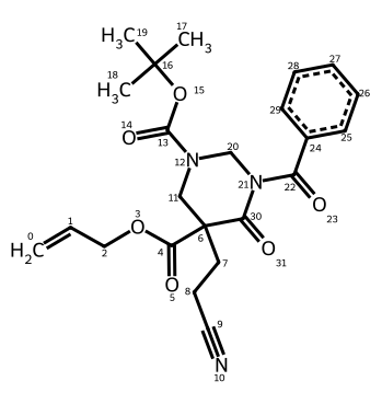 C=CCOC(=O)C1(CCC#N)CN(C(=O)OC(C)(C)C)CN(C(=O)c2ccccc2)C1=O